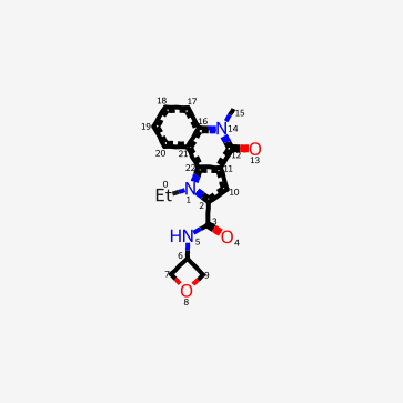 CCn1c(C(=O)NC2COC2)cc2c(=O)n(C)c3ccccc3c21